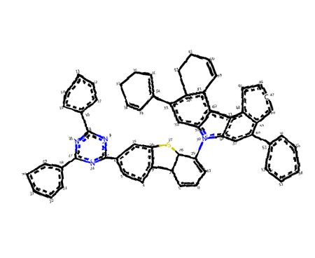 C1=CC2c3ccc(-c4nc(-c5ccccc5)nc(-c5ccccc5)n4)cc3SC2C(n2c3cc(C4=CCCC=C4)c4c(c3c3c5ccccc5c(-c5ccccc5)cc32)C=CCC4)=C1